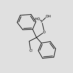 OP(O)OC(CCl)(c1ccccc1)c1ccccc1